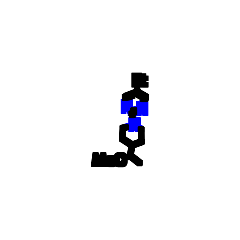 CCc1cnc(N2CCC([C@H](C)OC)CC2)nc1